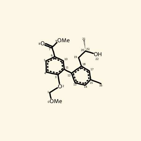 COCOc1ccc(C(=O)OC)cc1-c1ccc(C)cc1C[C@H](C)O